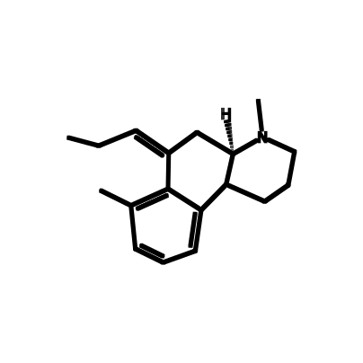 CC/C=C1/C[C@@H]2C(CCCN2C)c2cccc(C)c21